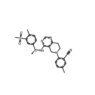 Cc1ccc(N2CCc3ncnc(N[C@@H](C)c4ccc(C)c(S(C)(=O)=O)c4)c3C2)c(C#N)c1